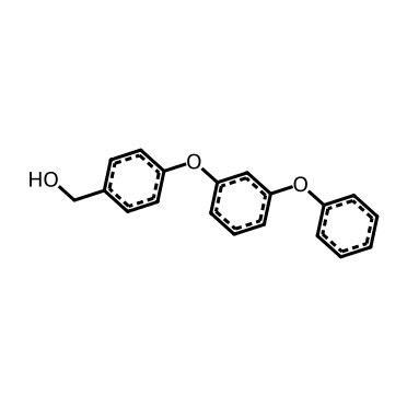 OCc1ccc(Oc2cccc(Oc3ccccc3)c2)cc1